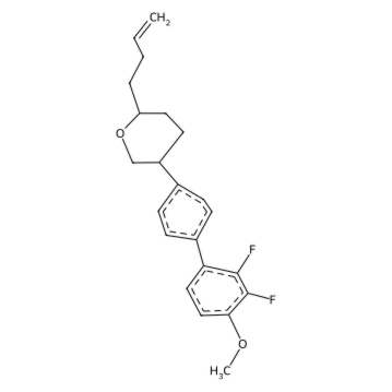 C=CCCC1CCC(c2ccc(-c3ccc(OC)c(F)c3F)cc2)CO1